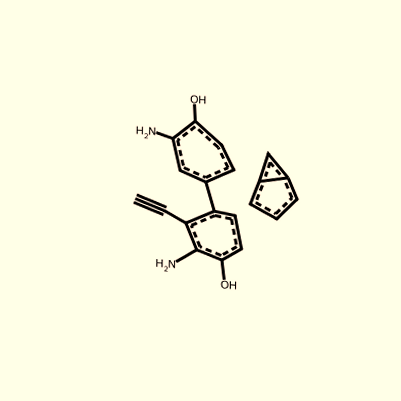 C#Cc1c(-c2ccc(O)c(N)c2)ccc(O)c1N.c1cc2cc-2c1